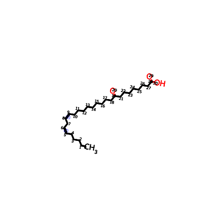 CCCCC/C=C\C/C=C\CCCCCCCCCC(=O)CCCCCCCC(=O)O